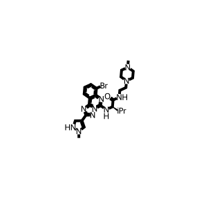 CC(C)[C@@H](Nc1nc2c(Br)cccc2c2nc(C3=CN(C)NC3)nn12)C(=O)NCCN1CCN(C)CC1